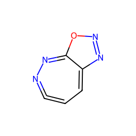 C1=CC=c2nnoc2=NN=1